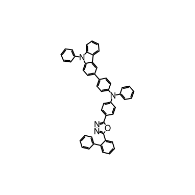 c1ccc(-c2ccccc2-c2nnc(-c3ccc(N(c4ccccc4)c4ccc(-c5ccc6c(c5)c5ccccc5n6-c5ccccc5)cc4)cc3)o2)cc1